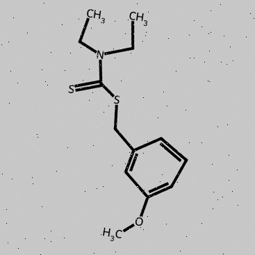 CCN(CC)C(=S)SCc1cccc(OC)c1